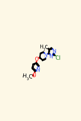 COc1ccc(OC2CCN(c3nc(Cl)ncc3C)CC2)cn1